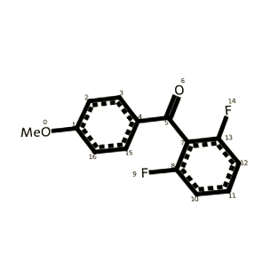 COc1ccc(C(=O)c2c(F)cccc2F)cc1